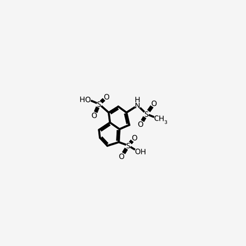 CS(=O)(=O)Nc1cc(S(=O)(=O)O)c2cccc(S(=O)(=O)O)c2c1